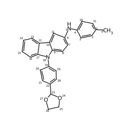 Cc1ccc(Nc2ccc3c(c2)c2ccccc2n3-c2ccc(C3OCCO3)cc2)cc1